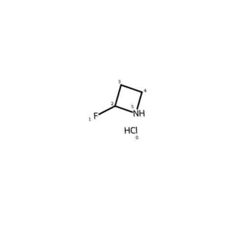 Cl.FC1CCN1